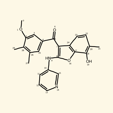 COc1cc(C(=O)c2c(Nc3cccnc3)oc3c(O)c(C)ccc23)cc(C)c1C